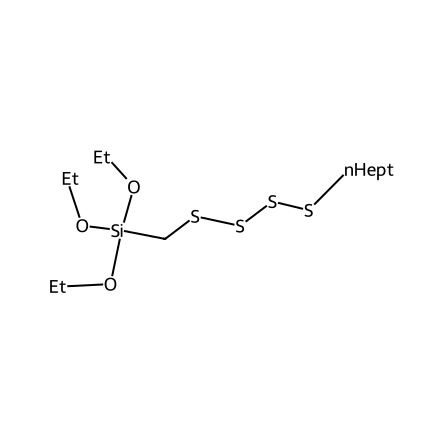 CCCCCCCSSSSC[Si](OCC)(OCC)OCC